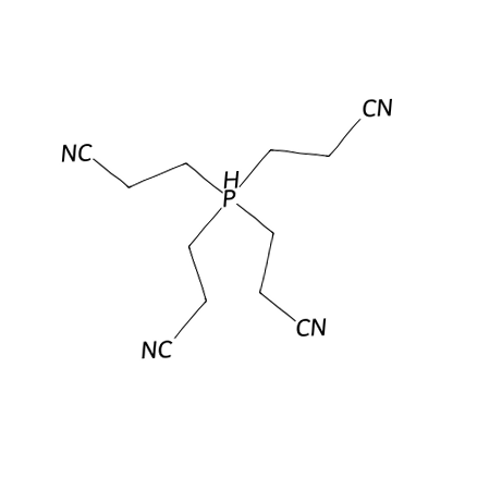 N#CCC[PH](CCC#N)(CCC#N)CCC#N